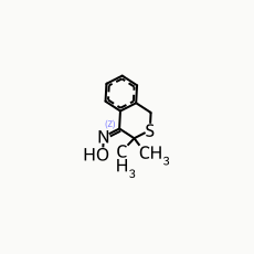 CC1(C)SCc2ccccc2/C1=N/O